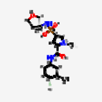 Cn1cc(S(=O)(=O)NC2(C(F)(F)F)CCOC2)cc1C(=O)Nc1ccc(F)c(C#N)c1